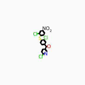 O=C(c1ccc(Sc2c(Cl)cc([N+](=O)[O-])cc2Cl)cc1)c1ccc(Cl)nc1